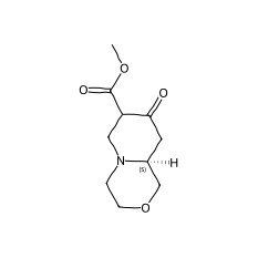 COC(=O)C1CN2CCOC[C@@H]2CC1=O